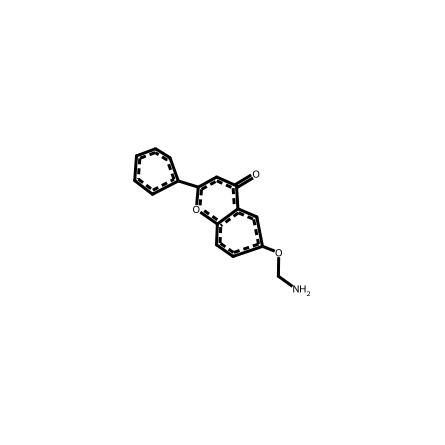 NCOc1ccc2oc(-c3ccccc3)cc(=O)c2c1